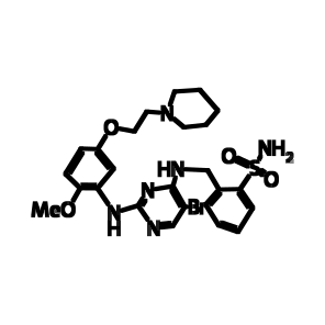 COc1ccc(OCCN2CCCCC2)cc1Nc1ncc(Br)c(NCc2ccccc2S(N)(=O)=O)n1